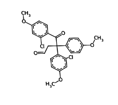 COc1ccc(C(CC=O)(C(=O)c2ccc(OC)cc2Cl)c2ccc(OC)cc2Cl)cc1